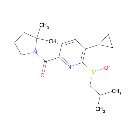 CC(C)C[S+]([O-])c1nc(C(=O)N2CCCC2(C)C)ccc1C1CC1